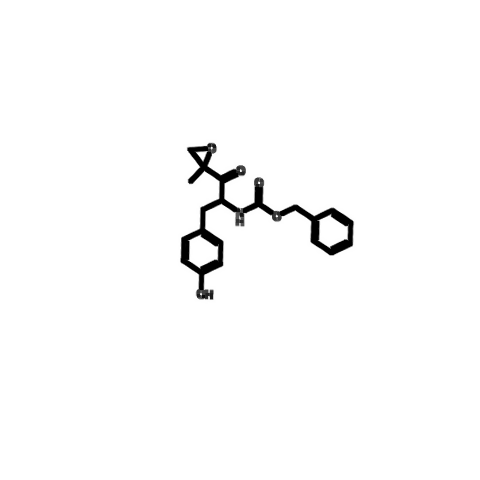 CC1(C(=O)C(Cc2ccc(O)cc2)NC(=O)OCc2ccccc2)CO1